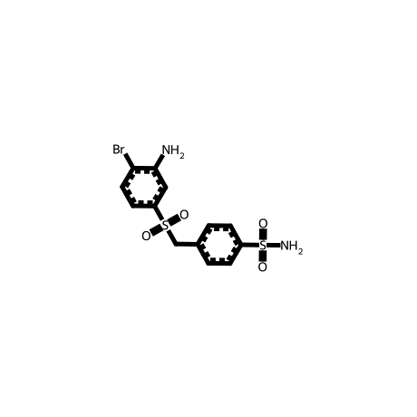 Nc1cc(S(=O)(=O)Cc2ccc(S(N)(=O)=O)cc2)ccc1Br